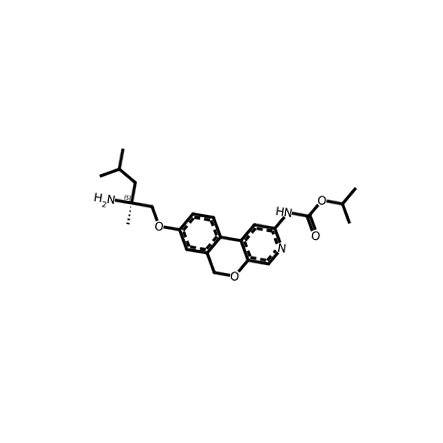 CC(C)C[C@](C)(N)COc1ccc2c(c1)COc1cnc(NC(=O)OC(C)C)cc1-2